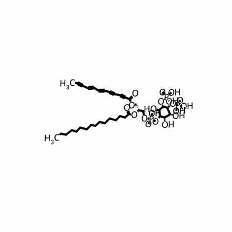 CC#CC#CC#CC#CC#CC(=O)OC[C@H](COP(=O)(O)OC1C(O)[C@@H](OP(=O)(O)O)C(OP(=O)(O)O)[C@@H](O)[C@H]1O)OC(=O)CCCCCCCCCCCCCCC